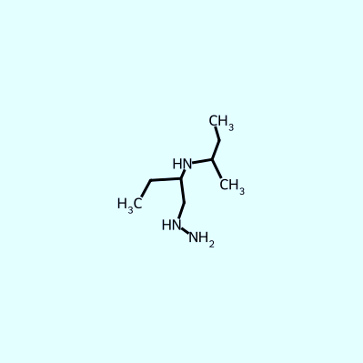 CCC(C)NC(CC)CNN